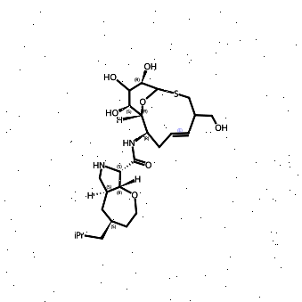 CC(C)C[C@@H]1CCO[C@@H]2[C@H](CN[C@@H]2C(=O)N[C@@H]2C/C=C/C(CO)CSC3O[C@H]2[C@@H](O)C(O)[C@H]3O)C1